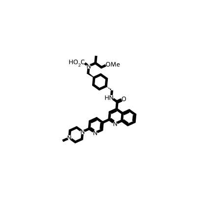 COCC(C)N(C[C@H]1CC[C@H](CNC(=O)c2cc(-c3ccc(N4CCN(C)CC4)nc3)nc3ccccc23)CC1)C(=O)O